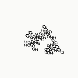 CC[C@@]1(O)C(=O)OCc2c1cc1n(c2=O)Cc2c-1nc1cc(Cl)cc3c1c2[C@H](NC(=O)COCNC(=O)CNC(=O)[C@H](Cc1ccccc1)NC(=O)CNC(=O)CNC(=O)[C@H](CCC(=O)NC[C@@H]1O[C@H](CO)[C@@H](O)[C@H](O)[C@H]1O)NC(=O)OCC1c2ccccc2-c2ccccc21)CC3